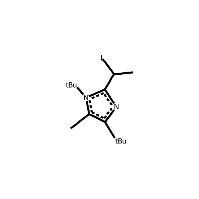 Cc1c(C(C)(C)C)nc(C(C)I)n1C(C)(C)C